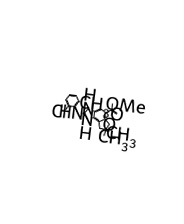 COC(=O)c1cc2c(c3c1OC(C)(C)C3)NC(Nc1c(C)cccc1Cl)N2